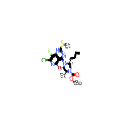 C=CCC[C@H]1CN(C(=O)OC(C)(C)C)[C@H](CC)CN1c1nc(SCC)nc2c(F)c(Cl)nc(Br)c12